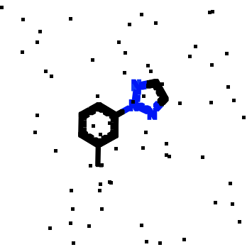 [CH2]c1cccc(-n2nccn2)c1